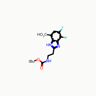 CC(C)(C)OC(=O)NCCc1nc2c(F)c(F)cc(C(=O)O)c2[nH]1